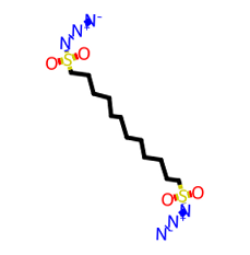 [N-]=[N+]=NS(=O)(=O)CCCCCCCCCCCCS(=O)(=O)N=[N+]=[N-]